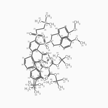 COc1ccc(CN(Cc2ccc(OC)cc2)S(=O)(=O)c2c(S(=O)(=O)CC[Si](C)(C)C)ccc(-c3cccc4c3nc(N(C(=O)OC(C)(C)C)C(=O)OC(C)(C)C)n4C(=O)OC(C)(C)C)c2-c2nnnn2Cc2ccc(OC)cc2)cc1